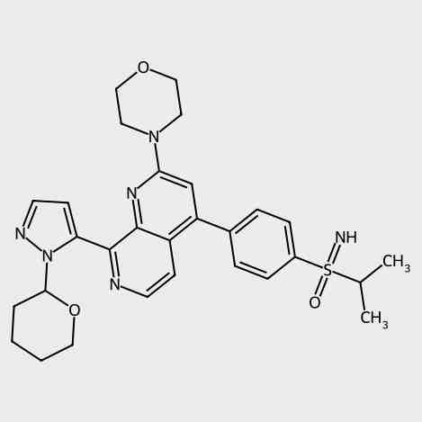 CC(C)S(=N)(=O)c1ccc(-c2cc(N3CCOCC3)nc3c(-c4ccnn4C4CCCCO4)nccc23)cc1